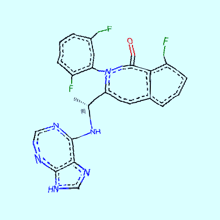 C[C@@H](Nc1ncnc2[nH]cnc12)c1cc2cccc(F)c2c(=O)n1-c1c(F)cccc1F